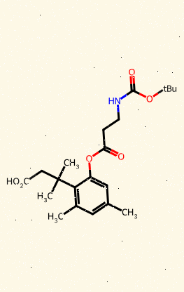 Cc1cc(C)c(C(C)(C)CC(=O)O)c(OC(=O)CCNC(=O)OC(C)(C)C)c1